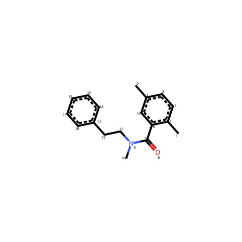 Cc1ccc(C)c(C(=O)N(C)CCc2ccccc2)c1